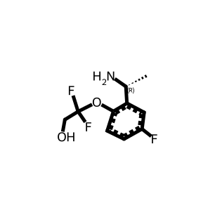 C[C@@H](N)c1cc(F)ccc1OC(F)(F)CO